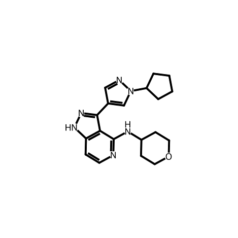 c1cc2[nH]nc(-c3cnn(C4CCCC4)c3)c2c(NC2CCOCC2)n1